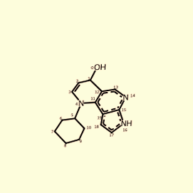 OC1C=CN(C2CCCCC2)c2c1cnc1[nH]ccc21